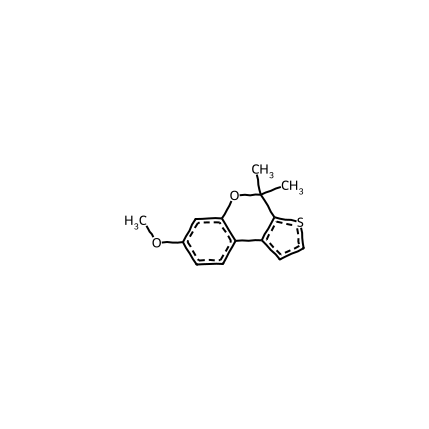 COc1ccc2c(c1)OC(C)(C)c1sccc1-2